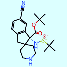 CC(C)(C)OC(=O)[C@]1(N[S@+]([O-])C(C)(C)C)c2cc(C#N)ccc2CC12CCNCC2